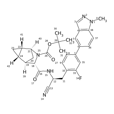 Cn1ncc2cc(-c3ccc(C[C@@H](C#N)NC(=O)[C@@H]4[C@@H]5C[C@@H]([C@H]6C[C@@H]56)N4C(=O)OC(C)(C)C)c(F)c3)ccc21